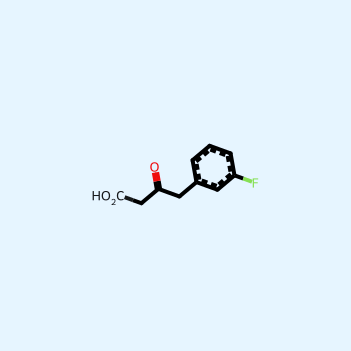 O=C(O)CC(=O)Cc1cccc(F)c1